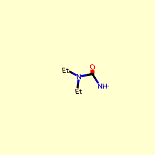 CCN(CC)C([NH])=O